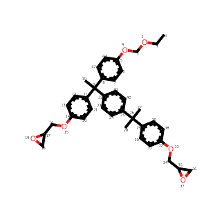 CCOCOc1ccc(C(C)(c2ccc(OCC3CO3)cc2)c2ccc(C(C)(C)c3ccc(OCC4CO4)cc3)cc2)cc1